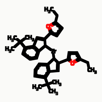 CCc1ccc(C2=Cc3c(cccc3C(C)(C)C)[CH]2[Zr][CH]2C(c3ccc(CC)o3)=Cc3c2cccc3C(C)(C)C)o1